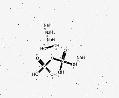 O=P(O)(O)OP(=O)(O)O.OO.[NaH].[NaH].[NaH].[NaH]